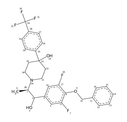 C[C@H](C(O)c1cc(F)c(OCc2ccccc2)c(F)c1)N1CCC(O)(c2ccc(C(F)(F)F)cc2)CC1